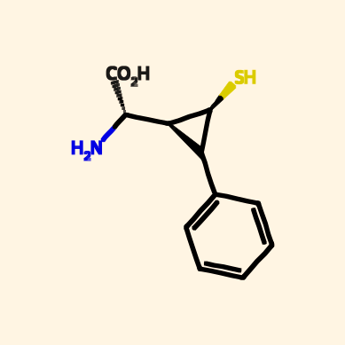 N[C@H](C(=O)O)[C@@H]1C(c2ccccc2)[C@@H]1S